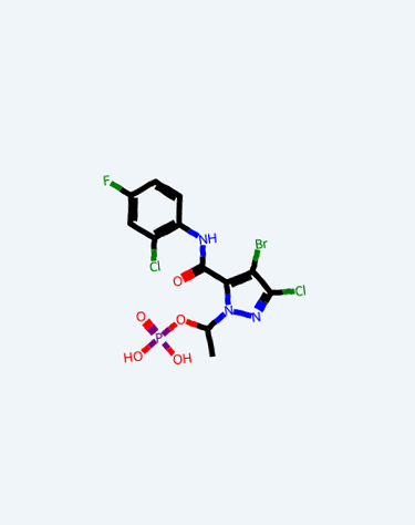 CC(OP(=O)(O)O)n1nc(Cl)c(Br)c1C(=O)Nc1ccc(F)cc1Cl